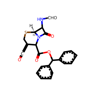 O=C=C1CS[C@H]2C(NC=O)C(=O)N2C1C(=O)OC(c1ccccc1)c1ccccc1